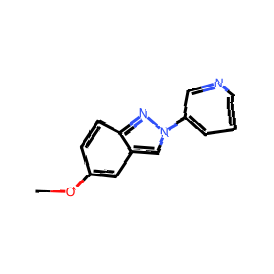 COc1ccc2nn(-c3cccnc3)cc2c1